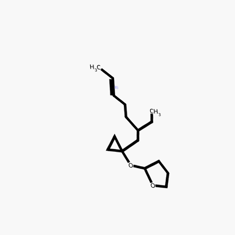 C/C=C/CCC(CC)CC1(OC2CCCO2)CC1